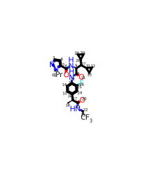 CC(C)n1nccc1C(=O)N[C@H](C(=O)Nc1ccc([C@H](C)C(=O)NCC(F)(F)F)cc1F)C(C1CC1)C1CC1